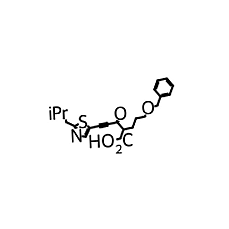 CC(C)Cc1ncc(C#CC(=O)C(CCCOCc2ccccc2)CC(=O)O)s1